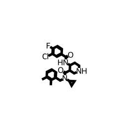 Cc1cccc(CN(C(=O)C2CNCCC2NC(=O)c2ccc(F)c(Cl)c2)C2CC2)c1C